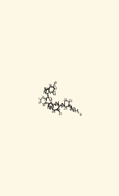 Cc1cc(C)n2c(C(=O)N3CCCC[C@H]3c3cc4nc(N5CC[C@H](N)C5)c(C)cn4n3)nnc2c1